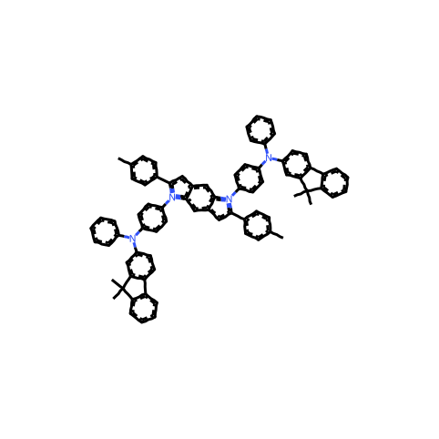 Cc1ccc(-c2cc3cc4c(cc(-c5ccc(C)cc5)n4-c4ccc(N(c5ccccc5)c5ccc6c(c5)C(C)(C)c5ccccc5-6)cc4)cc3n2-c2ccc(N(c3ccccc3)c3ccc4c(c3)C(C)(C)c3ccccc3-4)cc2)cc1